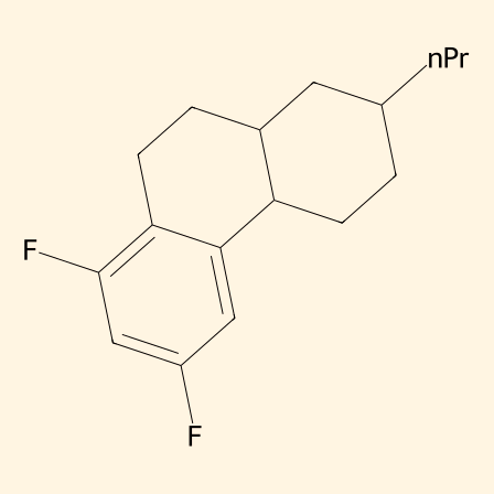 CCCC1CCC2c3cc(F)cc(F)c3CCC2C1